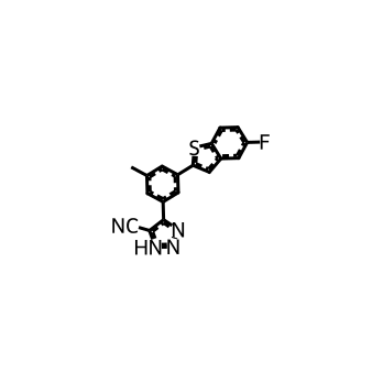 Cc1cc(-c2cc3cc(F)ccc3s2)cc(-c2nn[nH]c2C#N)c1